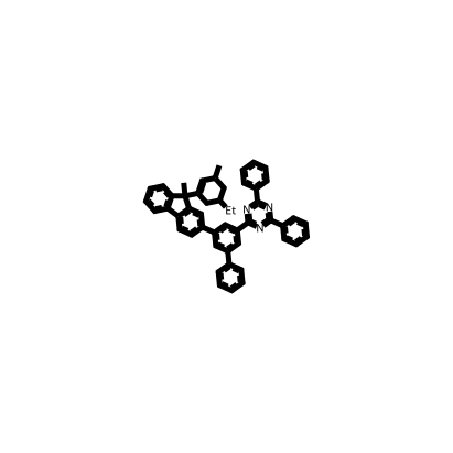 CCC1CC(C2(C)c3ccccc3-c3ccc(-c4cc(-c5ccccc5)cc(-c5nc(-c6ccccc6)nc(-c6ccccc6)n5)c4)cc32)=CC(C)C1